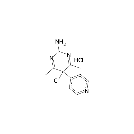 CC1=NC(N)N=C(C)C1(Cl)c1ccncc1.Cl